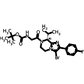 CC(C)[C@@H]1c2nc(-c3ccc(F)cc3)c(Br)n2CCN1C(=O)CNC(=O)OC(C)(C)C